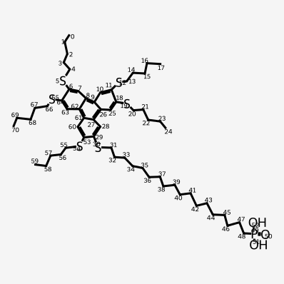 CCCCCSc1cc2c3cc(SCCCCC)c(SCCCCC)cc3c3cc(SCCCCCCCCCCCCCCCCCCP(=O)(O)O)c(SCCCCC)cc3c2cc1SCCCCC